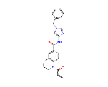 C=CC(=O)N1CCCc2cc(C(=O)Nc3cn(Cc4ccccc4)cn3)ccc21